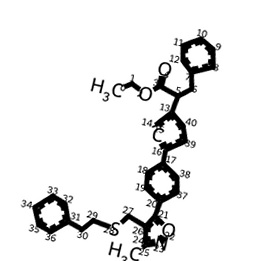 CCOC(=O)C(Cc1ccccc1)c1ccc(-c2ccc(-c3onc(C)c3CSCCc3ccccc3)cc2)cc1